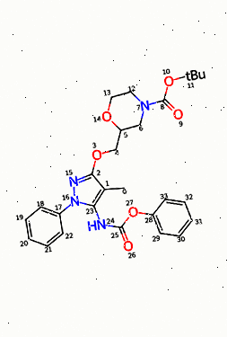 Cc1c(OCC2CN(C(=O)OC(C)(C)C)CCO2)nn(-c2ccccc2)c1NC(=O)Oc1ccccc1